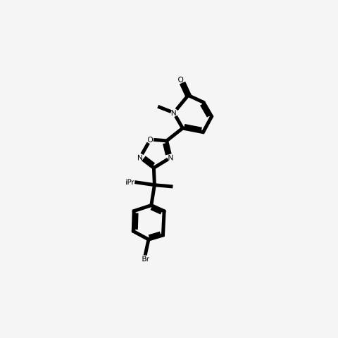 CC(C)C(C)(c1ccc(Br)cc1)c1noc(-c2cccc(=O)n2C)n1